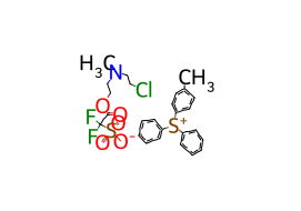 CN(CCCl)CCOC(=O)C(F)(F)S(=O)(=O)[O-].Cc1ccc([S+](c2ccccc2)c2ccccc2)cc1